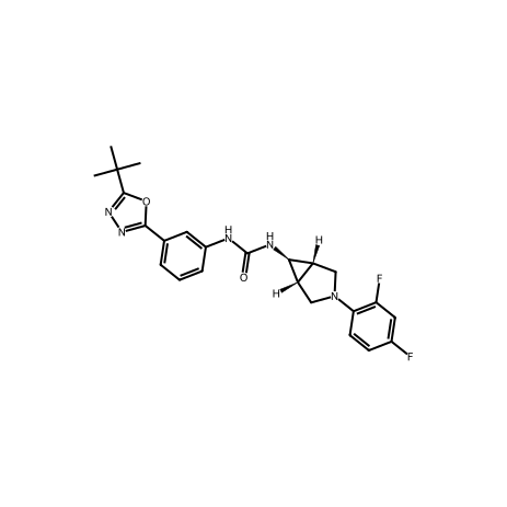 CC(C)(C)c1nnc(-c2cccc(NC(=O)N[C@H]3[C@@H]4CN(c5ccc(F)cc5F)C[C@@H]43)c2)o1